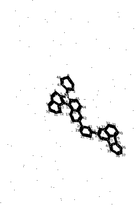 c1ccc(-n2c3ccc4ccccc4c3c3c4ccc(-c5cccc(-c6cc7c8c(cccc8c6)-c6ccccc6-7)c5)cc4ccc32)cc1